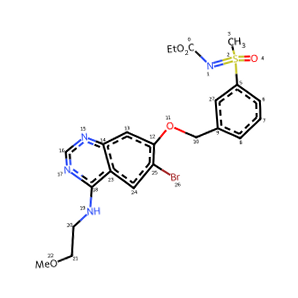 CCOC(=O)N=S(C)(=O)c1cccc(COc2cc3ncnc(NCCOC)c3cc2Br)c1